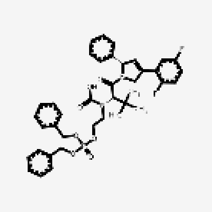 CC(C)(C)[C@@H](C(=O)N1CC(c2cc(F)ccc2F)=C[C@H]1c1ccccc1)N(CCOP(=O)(OCc1ccccc1)OCc1ccccc1)C(=O)O